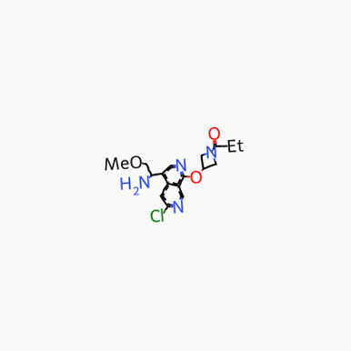 CCC(=O)N1CC(Oc2ncc(C(N)COC)c3cc(Cl)ncc23)C1